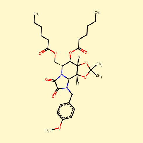 CCCCCC(=O)OC[C@@H]1[C@@H](OC(=O)CCCCC)[C@@H]2OC(C)(C)O[C@@H]2C2N(Cc3ccc(OC)cc3)C(=O)C(=O)N21